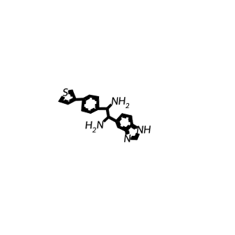 NC(c1ccc(-c2ccsc2)cc1)C(N)c1ccc2[nH]cnc2c1